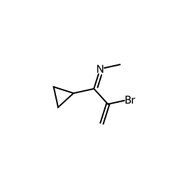 C=C(Br)/C(=N\C)C1CC1